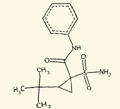 CC(C)(C)C1CC1(C(=O)Nc1ccccc1)S(N)(=O)=O